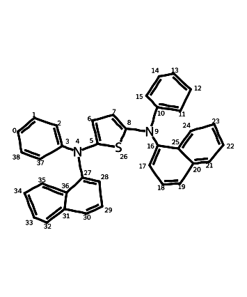 c1ccc(N(c2ccc(N(c3ccccc3)c3cccc4ccccc34)s2)c2cccc3ccccc23)cc1